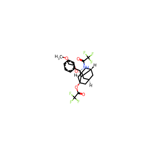 COCCO[C@@]12C[C@H]3C[C@@H](C1)[C@H]([C@@H](NC(=O)C(F)(F)F)c1ccccc1)[C@](OC(=O)C(F)(F)F)(C3)C2